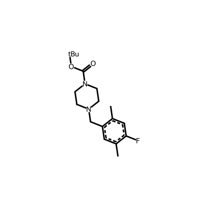 Cc1cc(CN2CCN(C(=O)OC(C)(C)C)CC2)c(C)cc1F